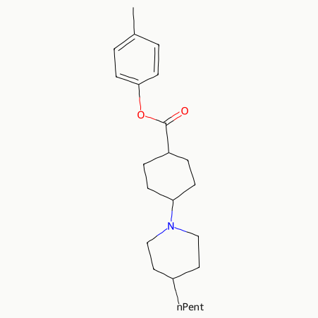 CCCCCC1CCN(C2CCC(C(=O)Oc3ccc(C)cc3)CC2)CC1